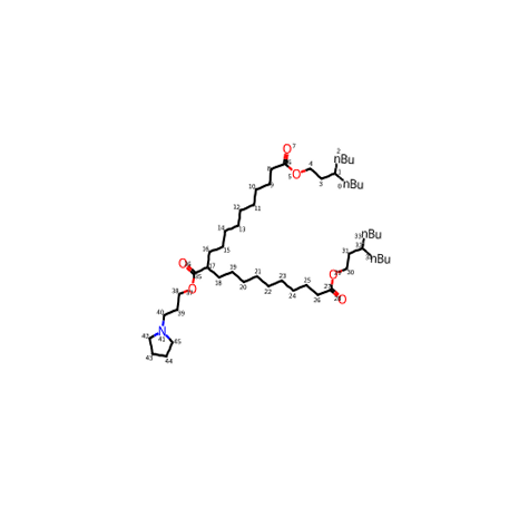 CCCCC(CCCC)CCOC(=O)CCCCCCCCCC(CCCCCCCCCC(=O)OCCC(CCCC)CCCC)C(=O)OCCCN1CCCC1